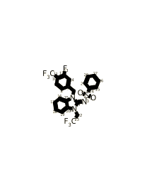 O=S(=O)(/N=c1\n(Cc2ccc(C(F)(F)F)c(F)c2)c2ccccc2n1CC(F)(F)F)c1ccccc1